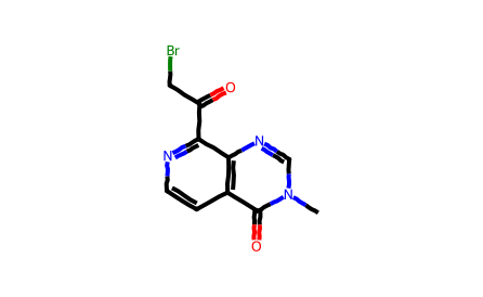 Cn1cnc2c(C(=O)CBr)nccc2c1=O